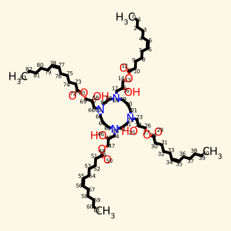 CCCCC/C=C\CCCCC(=O)OCC(O)CN1CCCN(CC(O)COC(=O)CCCC/C=C\CCCCC)CCN(CC(O)COC(=O)CCCC/C=C\CCCCC)CCCN(CC(O)COC(=O)CCCC/C=C\CCCCC)CC1